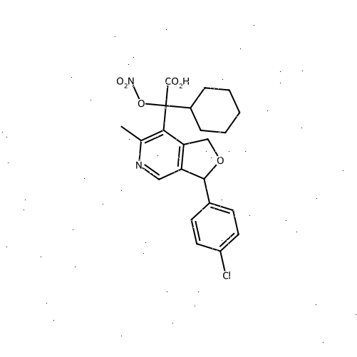 Cc1ncc2c(c1C(O[N+](=O)[O-])(C(=O)O)C1CCCCC1)COC2c1ccc(Cl)cc1